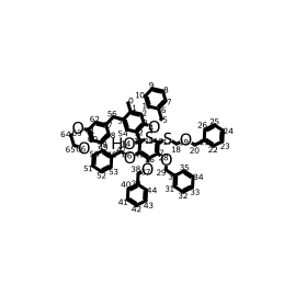 Cc1cc(OCc2ccccc2)c(C2(O)SC(SCOCc3ccccc3)=C(OCc3ccccc3)C(OCc3ccccc3)=C2OCc2ccccc2)cc1Cc1ccc2c(c1)OCCO2